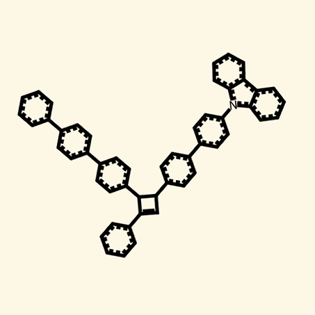 C1=C(c2ccccc2)C(c2ccc(-c3ccc(-c4ccccc4)cc3)cc2)C1c1ccc(-c2ccc(-n3c4ccccc4c4ccccc43)cc2)cc1